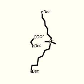 CCCCCCCCCCCC(=O)[O-].CCCCCCCCCCCCCCCC[N+](C)(C)CCCCCCCCCCCCCCCC